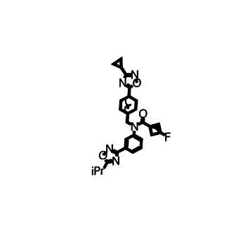 CC(C)c1nc(-c2cccc(N(CC34CCC(c5nc(C6CC6)no5)(CC3)CC4)C(=O)C34CC(F)(C3)C4)c2)no1